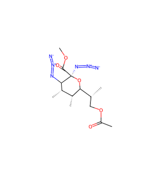 COC(=O)[C@@]1(N=[N+]=[N-])OC([C@H](C)COC(C)=O)[C@H](C)[C@H](C)C1N=[N+]=[N-]